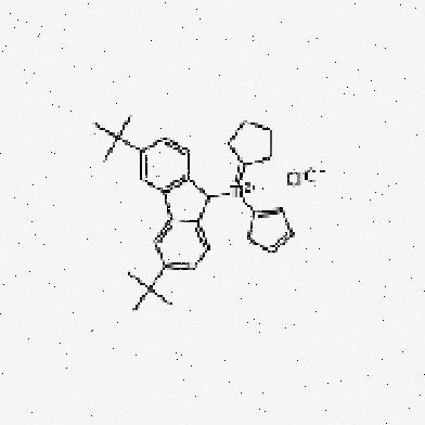 CC(C)(C)c1ccc2c(c1)-c1cc(C(C)(C)C)ccc1[CH]2[Ti+2]([C]1=CC=CC1)=[C]1CCCC1.[Cl-].[Cl-]